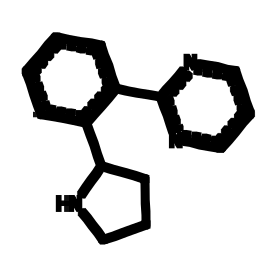 [c]1cccc(-c2ncccn2)c1C1CCCN1